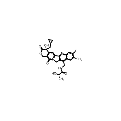 Cc1cc2c(CNC(=O)[C@H](C)O)c3c(nc2cc1F)-c1cc2c(c(=O)n1C3)COC(=O)[C@]2(O)CC1CC1